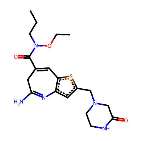 CCCN(OCC)C(=O)C1=Cc2sc(CN3CCNC(=O)C3)cc2N=C(N)C1